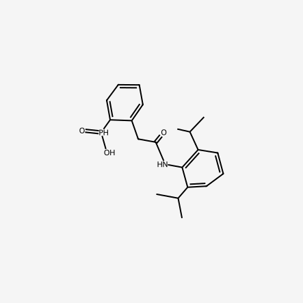 CC(C)c1cccc(C(C)C)c1NC(=O)Cc1ccccc1[PH](=O)O